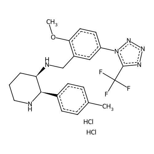 COc1ccc(-n2nnnc2C(F)(F)F)cc1CN[C@@H]1CCCN[C@@H]1c1ccc(C)cc1.Cl.Cl